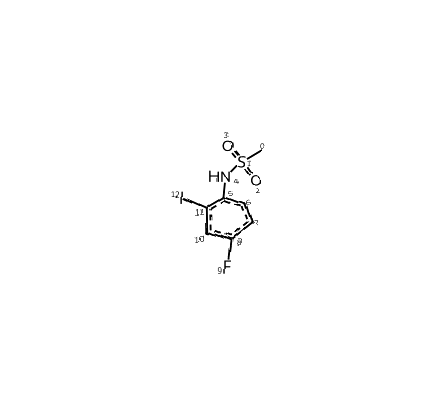 CS(=O)(=O)Nc1ccc(F)cc1I